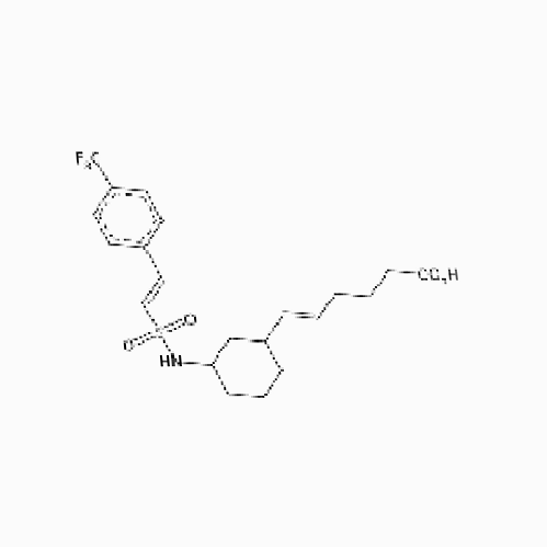 O=C(O)CCCC=CC1CCCC(NS(=O)(=O)C=Cc2ccc(C(F)(F)F)cc2)C1